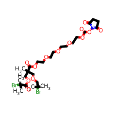 CC(C)(Br)COCC(C)(COC(=O)C(C)(C)Br)C(=O)OCCOCCOCCOCCOC(=O)ON1C(=O)CCC1=O